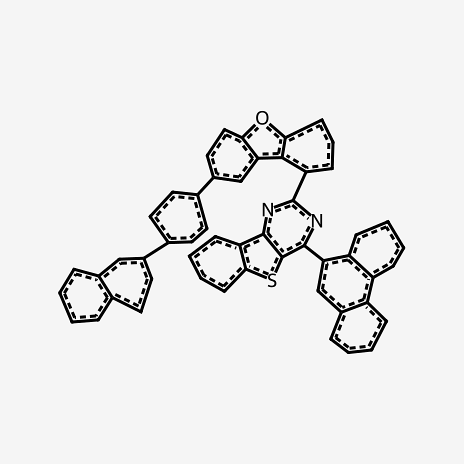 c1ccc2cc(-c3ccc(-c4ccc5oc6cccc(-c7nc(-c8cc9ccccc9c9ccccc89)c8sc9ccccc9c8n7)c6c5c4)cc3)ccc2c1